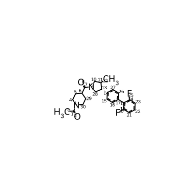 CC(=O)N1CCC(C(=O)N2CC(C)[C@H](c3ccc(-c4c(F)cccc4F)cc3)C2)CC1